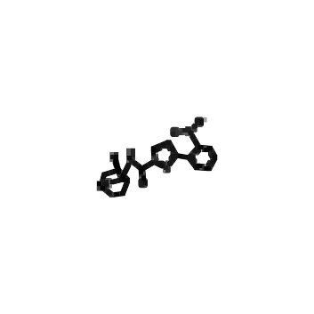 O=C(N[C@H]1CN2CCC1CC2)c1ccc(-c2ccccc2[N+](=O)[O-])s1